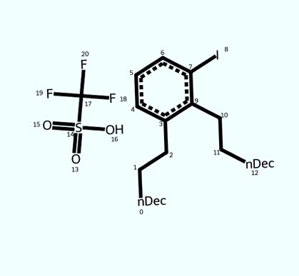 CCCCCCCCCCCCc1cccc(I)c1CCCCCCCCCCCC.O=S(=O)(O)C(F)(F)F